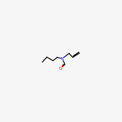 C=CCN(C=O)CCCC